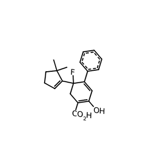 CC1(C)CCC=C1C1(F)CC(C(=O)O)=C(O)C=C1c1ccccc1